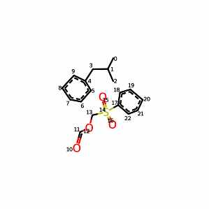 CC(C)Cc1ccccc1.O=COCS(=O)(=O)c1ccccc1